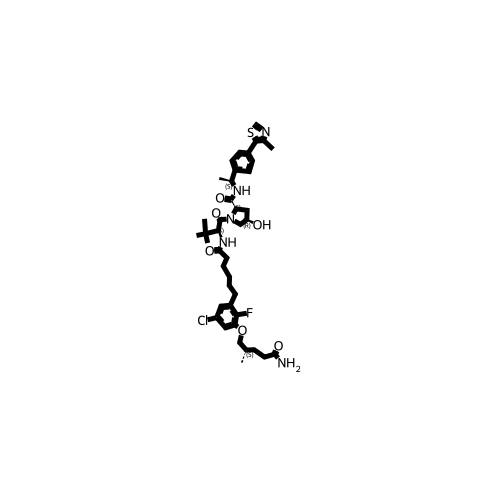 Cc1ncsc1-c1ccc([C@H](C)NC(=O)[C@@H]2C[C@@H](O)CN2C(=O)[C@@H](NC(=O)CCCCCc2cc(Cl)cc(OC[C@@H](C)CCC(N)=O)c2F)C(C)(C)C)cc1